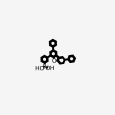 OB(O)c1cccc(-c2cc(-c3ccccc3)cc3c4c(oc23)=CCC(c2ccccc2)C=4)c1